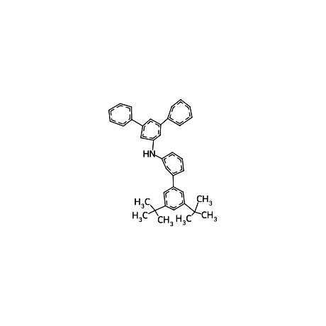 CC(C)(C)c1cc(-c2cccc(Nc3cc(-c4ccccc4)cc(-c4ccccc4)c3)c2)cc(C(C)(C)C)c1